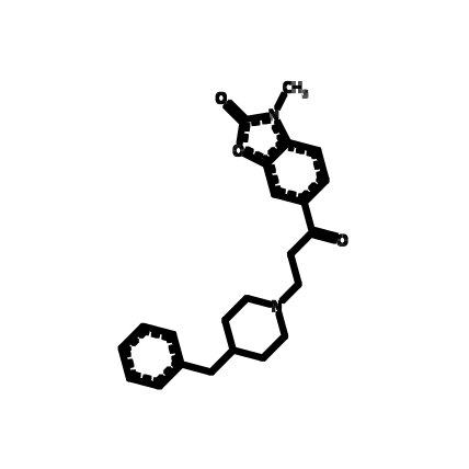 Cn1c(=O)oc2cc(C(=O)CCN3CCC(Cc4ccccc4)CC3)ccc21